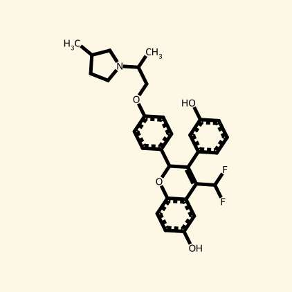 CC1CCN(C(C)COc2ccc(C3Oc4ccc(O)cc4C(C(F)F)=C3c3cccc(O)c3)cc2)C1